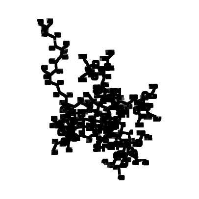 CCO[Si](CCCS(S)(SS)C(C(C)=C(S(S)(CCC[Si](OCC)(OCC)OCC)SS)S(S)(CCC[Si](OCC)(OCC)OCC)SS)=C(C(C(C)CCCC(C)CCCCC(C)CCCC(C)CCCC(C)C)(S(S)(CCC[Si](OCC)(OCC)OCC)SS)S(S)(CCC[Si](OCC)(OCC)OCC)SS)S(S)(CCC[Si](OCC)(OCC)OCC)SS)(OCC)OCC